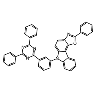 c1ccc(-c2nc(-c3ccccc3)nc(-c3cccc(-n4c5ccccc5c5c6oc(-c7ccccc7)nc6ccc54)c3)n2)cc1